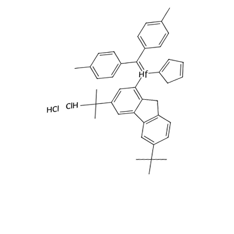 Cc1ccc([C](c2ccc(C)cc2)=[Hf]([C]2=CC=CC2)[c]2cc(C(C)(C)C)cc3c2Cc2ccc(C(C)(C)C)cc2-3)cc1.Cl.Cl